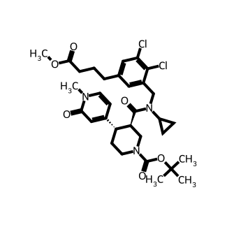 COC(=O)CCCc1cc(Cl)c(Cl)c(CN(C(=O)[C@H]2CN(C(=O)OC(C)(C)C)CC[C@@H]2c2ccn(C)c(=O)c2)C2CC2)c1